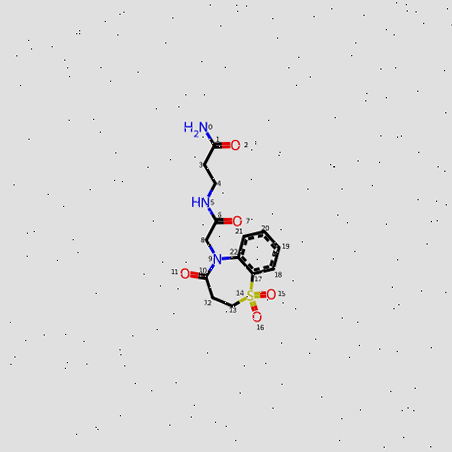 NC(=O)CCNC(=O)CN1C(=O)CCS(=O)(=O)c2ccccc21